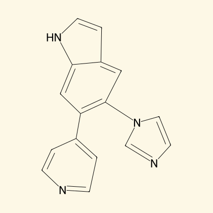 c1cc(-c2cc3[nH]ccc3cc2-n2ccnc2)ccn1